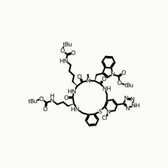 CN1C(=O)[C@H](CCCCNC(=O)OC(C)(C)C)NC(=O)[C@H](CCCNC(=O)OC(C)(C)C)NCc2ccccc2SC2=C(C=C(c3nn[nH]n3)CN2Cl)CNC(=O)[C@@H]1Cc1cn(C(=O)OC(C)(C)C)c2ccccc12